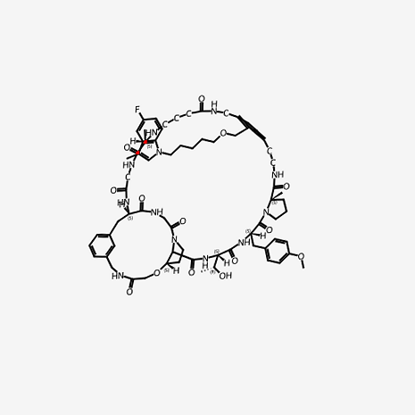 COc1ccc(C[C@@H]2NC(=O)[C@H]([C@@H](C)O)NC(=O)C3[C@@H]4CCN3C(=O)CNC(=O)[C@H](Cc3cccc(c3)CNC(=O)CO4)NC(=O)CNC(=O)[C@H](C)NCCCC(=O)NCc3ccc(cc3COCCCCCn3cc(C)c4cc(F)ccc43)CCNC(=O)[C@]3(C)CCCN3C2=O)cc1